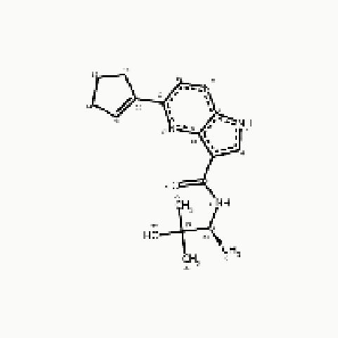 C[C@H](NC(=O)c1c[nH]c2ncc(C3=CCCC3)nc12)C(C)(C)O